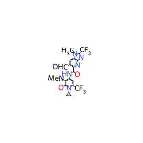 CNc1c(NC(=O)c2nc3nc(C(F)(F)F)n(C)c3cc2C=O)cc(C(F)(F)F)n(C2CC2)c1=O